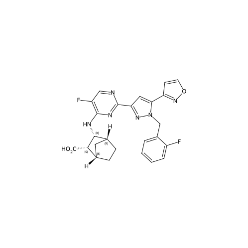 O=C(O)[C@H]1[C@H]2CC[C@H](C2)[C@H]1Nc1nc(-c2cc(-c3ccon3)n(Cc3ccccc3F)n2)ncc1F